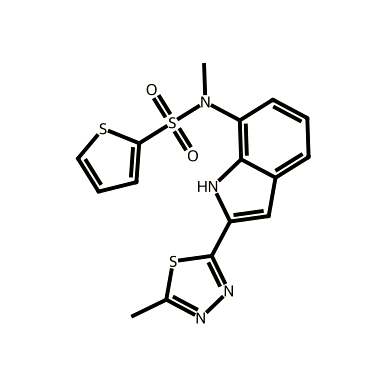 Cc1nnc(-c2cc3cccc(N(C)S(=O)(=O)c4cccs4)c3[nH]2)s1